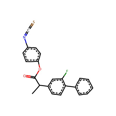 CC(C(=O)Oc1ccc(N=C=S)cc1)c1ccc(-c2ccccc2)c(F)c1